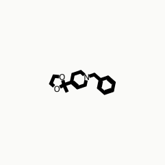 CC1(C2=CCN(Cc3ccccc3)CC2)OCCO1